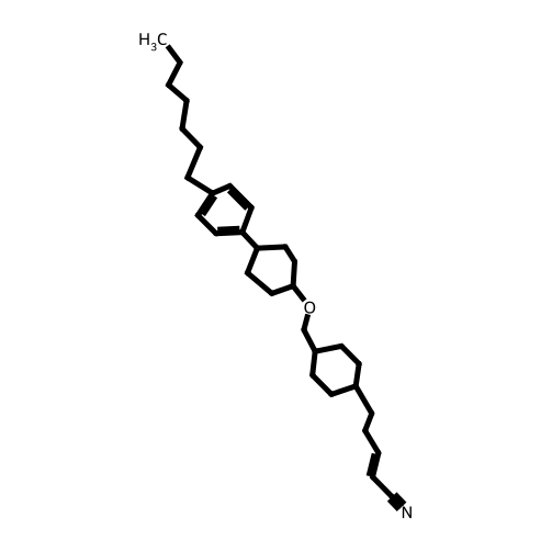 CCCCCCCc1ccc(C2CCC(OCC3CCC(CCC=CC#N)CC3)CC2)cc1